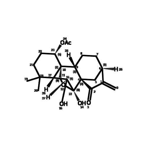 C=C1C(=O)[C@]23C[C@H]1CC[C@H]2[C@@]12CO[C@@]3(O)[C@@H](O)[C@@H]1C(C)(C)CC[C@@H]2OC(C)=O